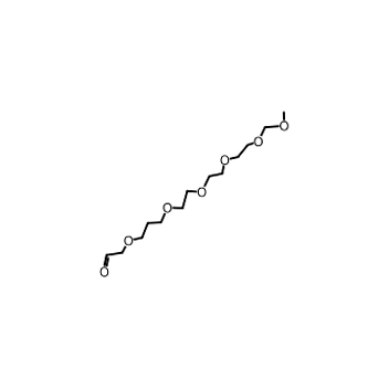 COCOCCOCCOCCOCCCOCC=O